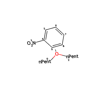 CCCCCOCCCCC.O=[N+]([O-])c1ccccc1